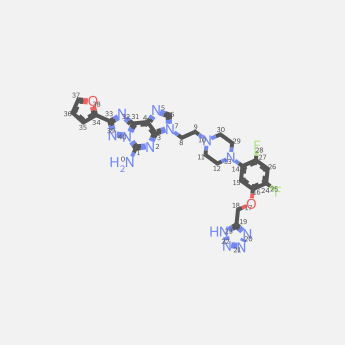 Nc1nc2c(ncn2CCN2CCN(c3cc(OCc4nnn[nH]4)c(F)cc3F)CC2)c2nc(-c3ccco3)nn12